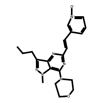 CCCc1nn(C)c2c(N3CCOCC3)nc(/C=C/c3ccc[n+]([O-])c3)nc12